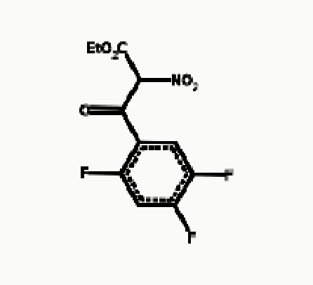 CCOC(=O)C(C(=O)c1cc(F)c(F)cc1F)[N+](=O)[O-]